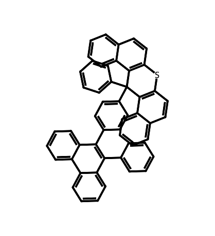 c1ccc(-c2c(-c3ccc(C4(c5ccccc5)c5c(ccc6ccccc56)Sc5ccc6ccccc6c54)cc3)c3ccccc3c3ccccc23)cc1